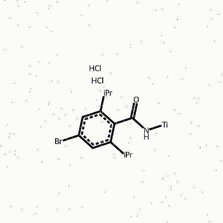 CC(C)c1cc(Br)cc(C(C)C)c1C(=O)[NH][Ti].Cl.Cl